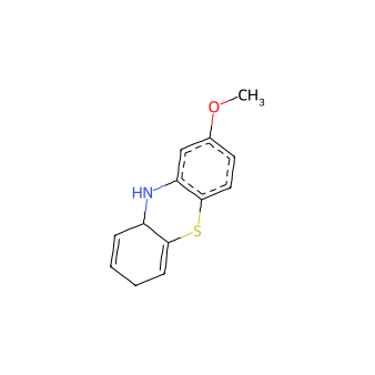 COc1ccc2c(c1)NC1C=CCC=C1S2